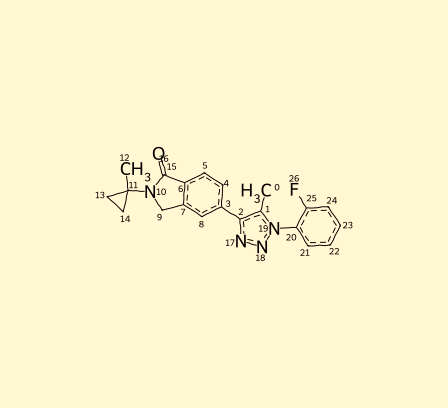 Cc1c(-c2ccc3c(c2)CN(C2(C)CC2)C3=O)nnn1-c1ccccc1F